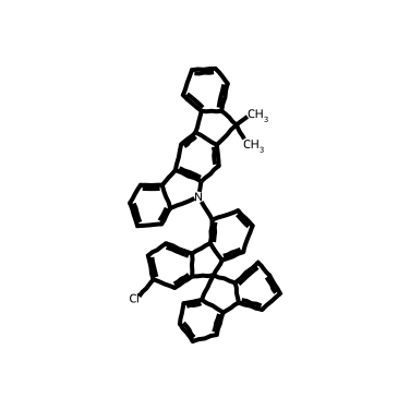 CC1(C)c2ccccc2-c2cc3c4ccccc4n(-c4cccc5c4-c4ccc(Cl)cc4C54c5ccccc5-c5ccccc54)c3cc21